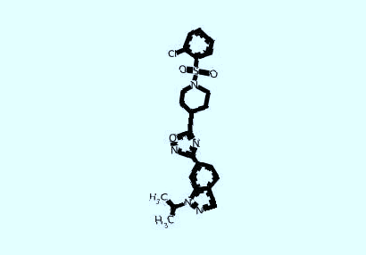 CC(C)n1ncc2ccc(-c3noc(C4CCN(S(=O)(=O)c5ccccc5Cl)CC4)n3)cc21